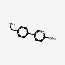 COCc1ccc(-c2ccc(OC)nc2)cc1